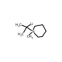 [Li][C](C)(C)[Si]1(C)CCCCC1